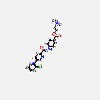 CCN(CC)CCOC(=O)c1ccc(NC(=O)c2ccc(-c3ncccc3Cl)cn2)cc1